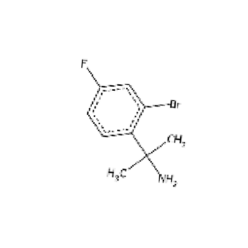 CC(C)(N)c1ccc(F)cc1Br